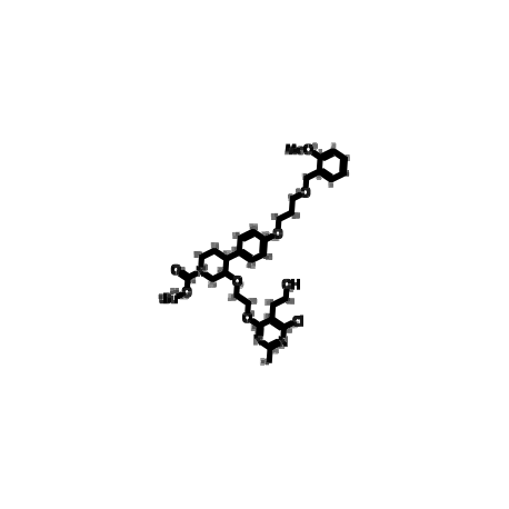 COc1ccccc1COCCCOc1ccc(C2CCN(C(=O)OC(C)(C)C)CC2OCCOc2nc(C)nc(Cl)c2CCO)cc1